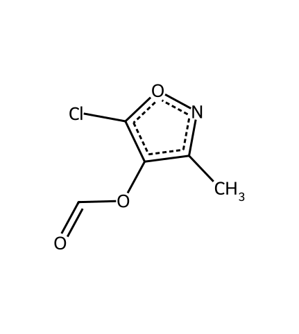 Cc1noc(Cl)c1OC=O